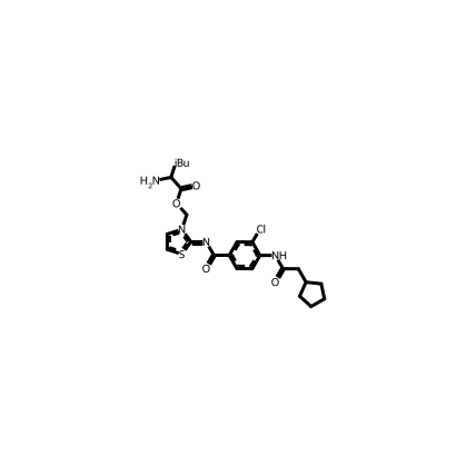 CCC(C)C(N)C(=O)OCn1ccsc1=NC(=O)c1ccc(NC(=O)CC2CCCC2)c(Cl)c1